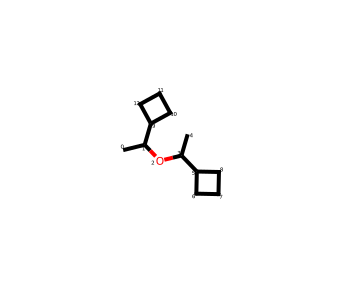 CC(OC(C)C1CCC1)C1CCC1